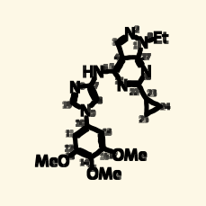 CCn1ncc2c(Nc3cn(-c4cc(OC)c(OC)c(OC)c4)cn3)nc(C3CC3)nc21